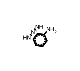 N=[N+]=N.Nc1ccccc1